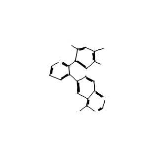 Cc1cc(F)c(Cl)cc1-c1ncccc1-c1ccc2ncnc(N)c2c1